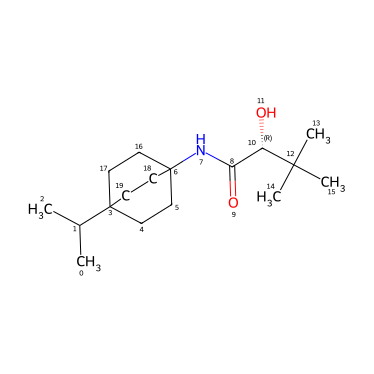 CC(C)C12CCC(NC(=O)[C@H](O)C(C)(C)C)(CC1)CC2